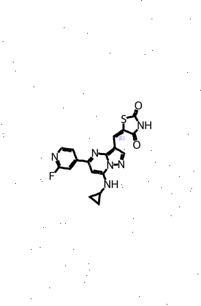 O=C1NC(=O)/C(=C\c2cnn3c(NC4CC4)cc(-c4ccnc(F)c4)nc23)S1